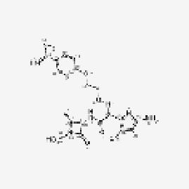 C[C@H]1[C@H](NC(=O)C(=NOCCOc2ccc(C(=N)N)cc2)c2nc(N)sc2Cl)C(=O)N1S(=O)(=O)O